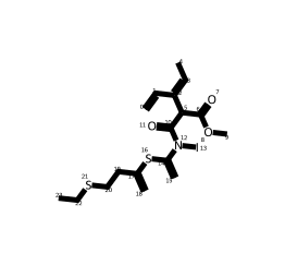 C=C/C(=C\C)C(C(=O)OC)C(=O)N(I)C(=C)SC(=C)CCSCC